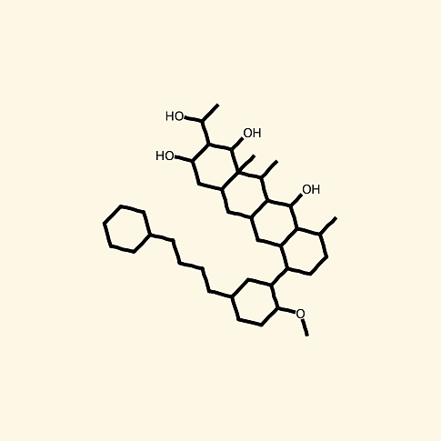 COC1CCC(CCCCC2CCCCC2)CC1C1CCC(C)C2C(O)C3C(CC12)CC1CC(O)C(C(C)O)C(O)C1(C)C3C